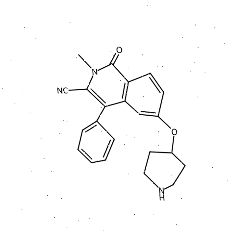 Cn1c(C#N)c(-c2ccccc2)c2cc(OC3CCNCC3)ccc2c1=O